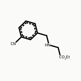 [C-]#[N+]c1cccc(CNCC(=O)OCC)c1